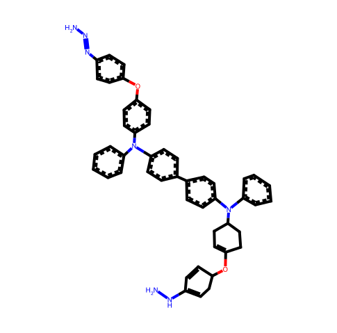 NN=Nc1ccc(Oc2ccc(N(c3ccccc3)c3ccc(-c4ccc(N(c5ccccc5)C5CC=C(OC6C=CC(NN)=CC6)CC5)cc4)cc3)cc2)cc1